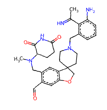 CC(=N)c1c(N)cccc1CN1CCC2(CC1)COc1cc(C=O)c(CN(C)C3CCC(=O)NC3=O)cc12